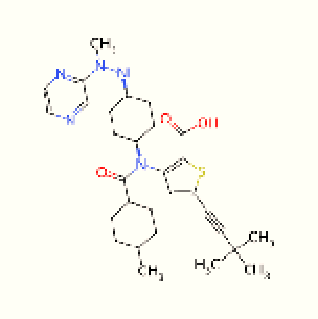 CC1CCC(C(=O)N(c2cc(C#CC(C)(C)C)sc2C(=O)O)[C@H]2CC[C@@H](NN(C)c3cnccn3)CC2)CC1